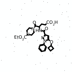 CCOC(=O)N1CCN(C(=O)C(CCC(=O)O)NC(=O)c2cc(OC3CCC3)n(-c3ccccc3)n2)CC1